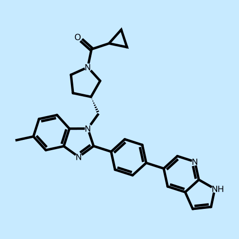 Cc1ccc2c(c1)nc(-c1ccc(-c3cnc4[nH]ccc4c3)cc1)n2C[C@@H]1CCN(C(=O)C2CC2)C1